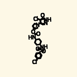 O=C(N[C@H]1CC[C@H](NS(=O)(=O)c2ccc(Cl)cc2)CC1)O[C@@H]1CCN(c2cn[nH]c(=O)c2Cl)C1